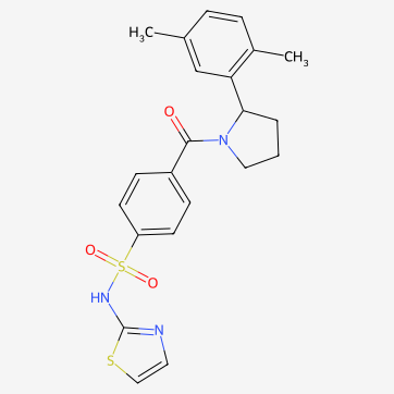 Cc1ccc(C)c(C2CCCN2C(=O)c2ccc(S(=O)(=O)Nc3nccs3)cc2)c1